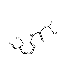 CC(C)OC(=O)Nc1cccc([C]=O)c1O